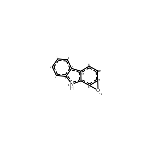 c1ccc2c(c1)[nH]c1c3c(ccc12)O3